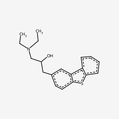 CCN(CC)CC(O)Cc1ccc2sc3ccccc3c2c1